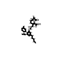 C=C(C)[C@@H]1CCC(C)=C[C@H]1c1ccc(CCCCC)cc1OCNCC1=C(C(=O)O)N2C(=O)C(C)[C@H]2CC1